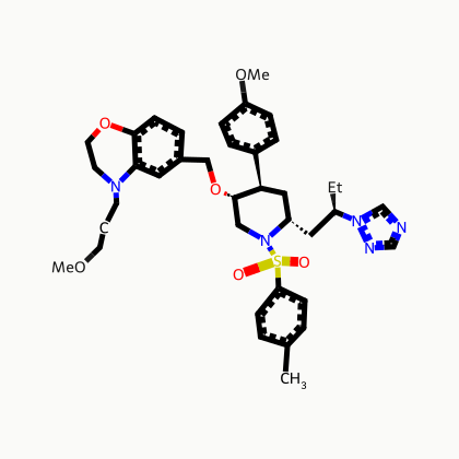 CC[C@H](C[C@H]1C[C@H](c2ccc(OC)cc2)[C@@H](OCc2ccc3c(c2)N(CCCOC)CCO3)CN1S(=O)(=O)c1ccc(C)cc1)n1cncn1